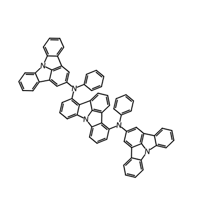 c1ccc(N(c2cc3c4ccccc4n4c5ccccc5c(c2)c34)c2cccc3c2c2cccc4c5c(N(c6ccccc6)c6cc7c8ccccc8n8c9ccccc9c(c6)c78)cccc5n3c24)cc1